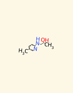 Cc1ccc(NCC(C)O)nc1